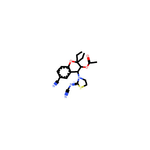 CCC1(CC)Oc2ccc(C#N)cc2C(N2CCS/C2=N\C#N)C1OC(C)=O